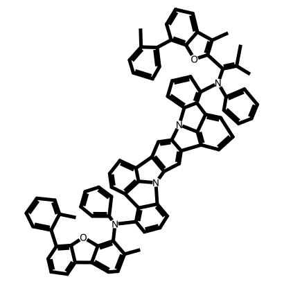 CC(C)=C(c1oc2c(-c3ccccc3C)cccc2c1C)N(c1ccccc1)c1cccc2c1c1cccc3c4cc5c(cc4n2c31)c1cccc2c3c(N(c4ccccc4)c4c(C)ccc6c4oc4c(-c7ccccc7C)cccc46)cccc3n5c12